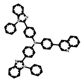 c1ccc(-n2c(-c3ccc(N(c4ccc(-c5cnc6ccccc6c5)cc4)c4ccc(-c5nc6ccccc6n5-c5ccccc5)cc4)cc3)nc3ccccc32)cc1